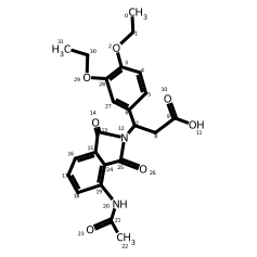 CCOc1ccc(C(CC(=O)O)N2C(=O)c3cccc(NC(C)=O)c3C2=O)cc1OCC